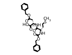 CSCC[C@H](NC(=O)OCc1ccccc1)C(=O)N[C@@H](CC(=O)OCc1ccccc1)C(=O)O